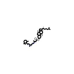 CC1=C(/C=C/C(C)=C\C=C\C(C)=C\C(=O)O[C@H]2CC[C@@]3(C)C(=CC[C@H]4[C@@H]5CC[C@H]([C@H](C)CCCC(C)C)[C@@]5(C)CC[C@@H]43)C2)C(C)(C)CCC1